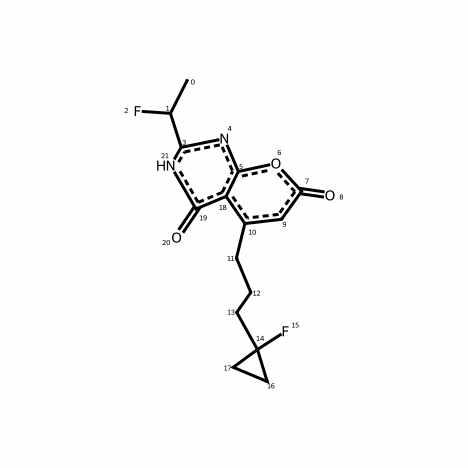 CC(F)c1nc2oc(=O)cc(CCCC3(F)CC3)c2c(=O)[nH]1